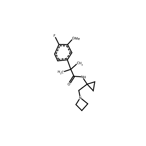 COc1cc(C(C)(C)C(=O)NC2(CN3CCC3)CC2)ccc1F